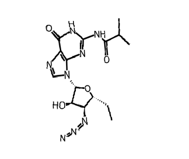 CC[C@H]1O[C@@H](n2cnc3c(=O)[nH]c(NC(=O)C(C)C)nc32)[C@H](O)[C@@H]1N=[N+]=[N-]